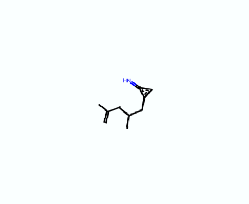 C=C(C)CC(C)Cc1cc1=N